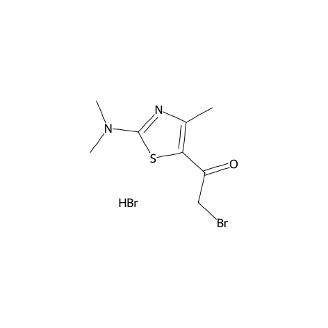 Br.Cc1nc(N(C)C)sc1C(=O)CBr